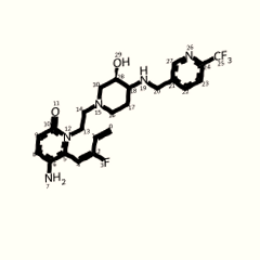 C=C/C(F)=C\c1c(N)ccc(=O)n1CCN1CCC(NCc2ccc(C(F)(F)F)nc2)[C@H](O)C1